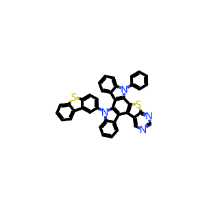 c1ccc(-n2c3ccccc3c3c2c2sc4ncncc4c2c2c4ccccc4n(-c4ccc5sc6ccccc6c5c4)c23)cc1